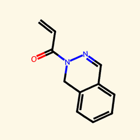 C=CC(=O)N1Cc2ccccc2C=N1